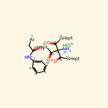 CC(=O)CC(=O)Nc1ccccc1.CCCCCCCC(=O)C(N)(C(=O)CCCCCCC)C(=O)CCCCCCC.Cl